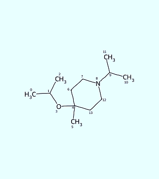 CC(C)OC1(C)CCN(C(C)C)CC1